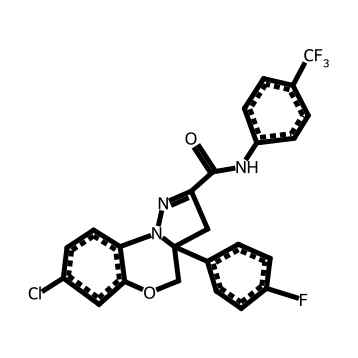 O=C(Nc1ccc(C(F)(F)F)cc1)C1=NN2c3ccc(Cl)cc3OCC2(c2ccc(F)cc2)C1